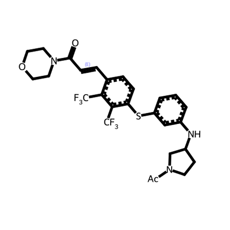 CC(=O)N1CCC(Nc2cccc(Sc3ccc(/C=C/C(=O)N4CCOCC4)c(C(F)(F)F)c3C(F)(F)F)c2)C1